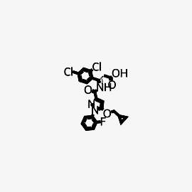 O=C(O)C[C@H](NC(=O)c1cc(OCC2CC2)n(-c2ccccc2F)n1)c1ccc(Cl)cc1Cl